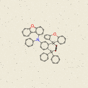 c1ccc(N(c2ccc3c(c2)[Si]2(c4ccccc4Oc4ccccc42)c2ccccc2[Si]3(c2ccccc2)c2ccccc2)c2cccc3oc4ccccc4c23)cc1